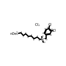 CCCCCCCCCCCCCCCCCC[N+](C)(C)Cc1ccc(Cl)c(Cl)c1.[Cl-]